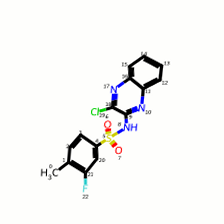 Cc1ccc(S(=O)(=O)Nc2nc3ccccc3nc2Cl)cc1F